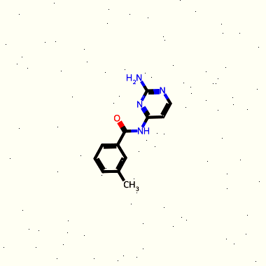 Cc1cccc(C(=O)Nc2ccnc(N)n2)c1